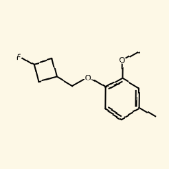 COc1cc(C)ccc1OCC1CC(F)C1